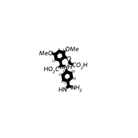 COc1cc(OC)c(OCC(=O)O)c(C(Nc2ccc(C(=N)N)cc2)C(=O)O)c1